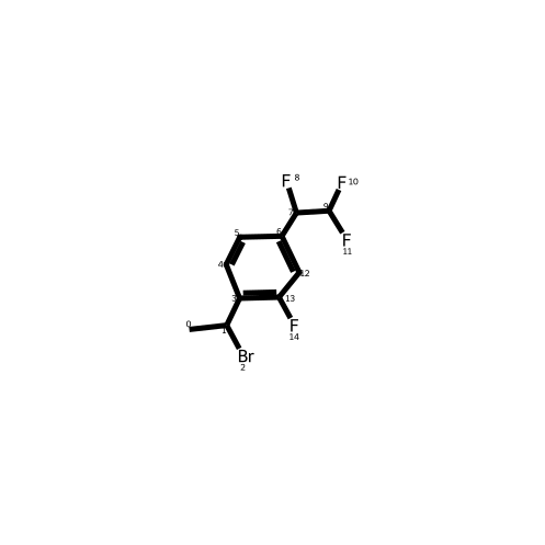 CC(Br)c1ccc(C(F)C(F)F)cc1F